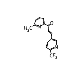 Cc1cccc(C(=O)C=Cc2ccc(C(F)(F)F)nc2)n1